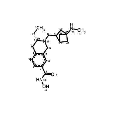 CC[C@H]1Cc2ncc(C(=O)NO)cc2CN1CC1CC2(NC)CC1C2